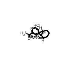 COC1(c2ccnc(C(N)=O)c2)[C@@H]2CCC[C@H]1CN(C(C)(C)C)C2.Cl